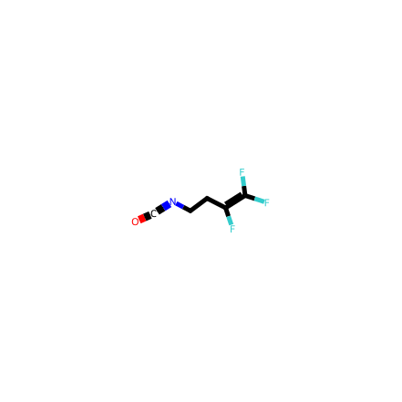 O=C=NCCC(F)=C(F)F